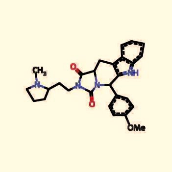 COc1ccc(C2c3[nH]c4ccccc4c3CC3C(=O)N(CCC4CCCN4C)C(=O)N32)cc1